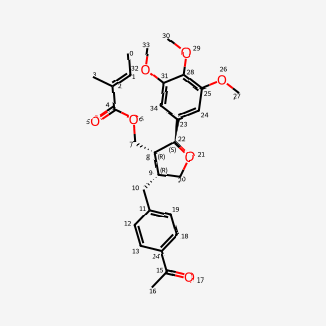 CC=C(C)C(=O)OC[C@H]1[C@@H](Cc2ccc(C(C)=O)cc2)CO[C@@H]1c1cc(OC)c(OC)c(OC)c1